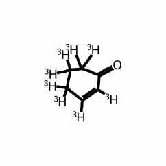 [3H]C1=C([3H])C([3H])([3H])C([3H])([3H])C([3H])([3H])C1=O